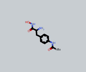 CCCCC(=O)Nc1ccc(CC(N)C(=O)NO)cc1